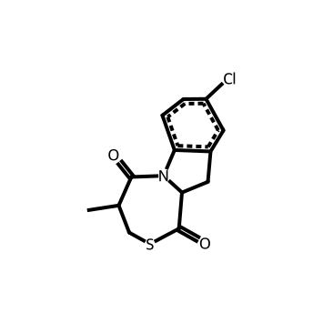 CC1CSC(=O)C2Cc3cc(Cl)ccc3N2C1=O